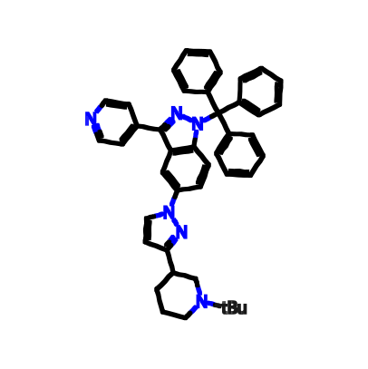 CC(C)(C)N1CCCC(c2ccn(-c3ccc4c(c3)c(-c3ccncc3)nn4C(c3ccccc3)(c3ccccc3)c3ccccc3)n2)C1